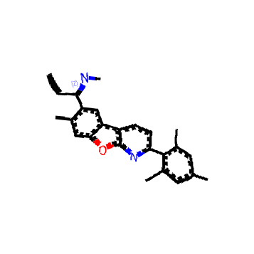 C=C/C(=N/C)c1cc2c(cc1C)oc1nc(-c3c(C)cc(C)cc3C)ccc12